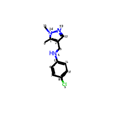 Cc1c(CNc2ccc(Cl)cc2)cnn1C